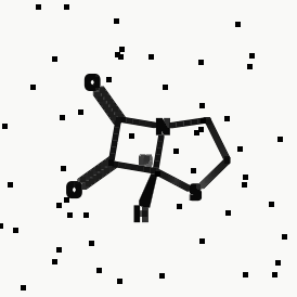 O=C1C(=O)N2CCS[C@H]12